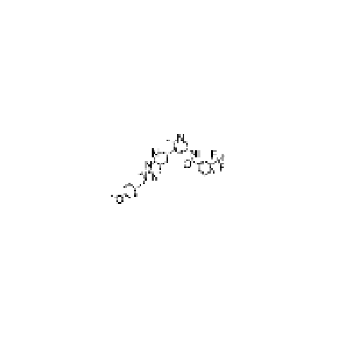 COc1ccc(CN(C)c2ncc3cc(-c4cc(NC(=O)c5ccnc(C(F)(F)F)c5)cnc4C)cnc3n2)cc1